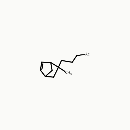 CC(=O)CCCC1(C)CC2C=CC1C2